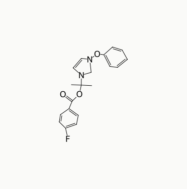 CC(C)(OC(=O)c1ccc(F)cc1)N1C=CN(Oc2ccccc2)C1